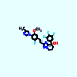 COc1cc(/C=C/c2nc3n(n2)CCC[C@]3(O)c2cc(F)c(F)c(F)c2)c(F)cc1-n1cnc(C)c1